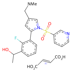 CNCc1cc(-c2cccc(C(C)O)c2F)n(S(=O)(=O)c2cccnc2)c1.O=C(O)/C=C/C(=O)O